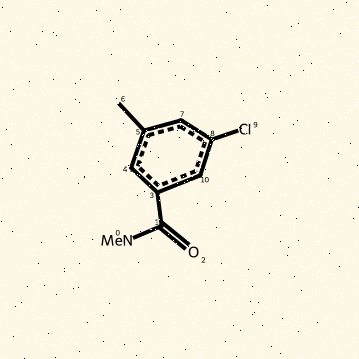 CNC(=O)c1[c]c(C)cc(Cl)c1